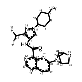 CC(C)C1CCC(n2cc(NC(=O)c3ncnc4ccc(N5CC6CC5CO6)nc34)c(C(F)F)n2)CC1